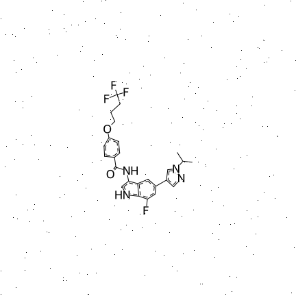 CC(C)n1cc(-c2cc(F)c3[nH]cc(NC(=O)c4ccc(OCCCC(F)(F)F)cc4)c3c2)cn1